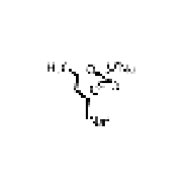 CCCCI.O=S(=O)([O-])[O-].[Na+].[Na+]